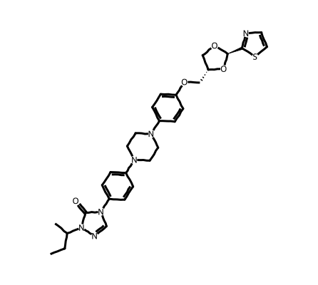 CCC(C)n1ncn(-c2ccc(N3CCN(c4ccc(OC[C@@H]5CO[C@@H](c6nccs6)O5)cc4)CC3)cc2)c1=O